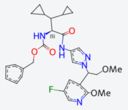 COCC(c1cc(F)cnc1OC)n1cc(NC(=O)[C@@H](NC(=O)OCc2ccccc2)C(C2CC2)C2CC2)cn1